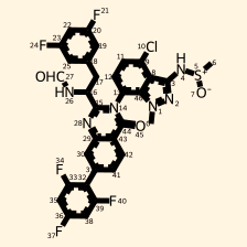 Cn1nc(N[S+](C)[O-])c2c(Cl)ccc(-n3c(C(Cc4cc(F)cc(F)c4)NC=O)nc4cc(-c5c(F)cc(F)cc5F)ccc4c3=O)c21